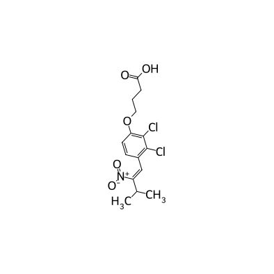 CC(C)C(=Cc1ccc(OCCCC(=O)O)c(Cl)c1Cl)[N+](=O)[O-]